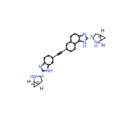 C(#Cc1ccc2nc([C@@H]3C[C@H]4C[C@H]4N3)[nH]c2c1)c1ccc2c(ccc3nc([C@@H]4C[C@H]5C[C@H]5N4)[nH]c32)c1